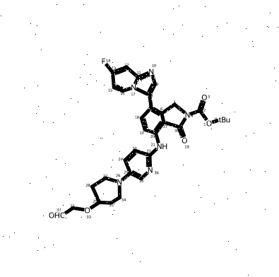 CC(C)(C)OC(=O)N1Cc2c(-c3cnc4cc(F)ccn34)ccc(Nc3ccc(N4CCC(OCC=O)CC4)cn3)c2C1=O